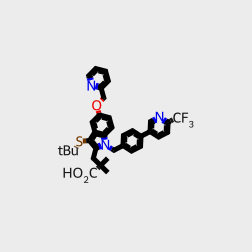 CC(C)(C)Sc1c(CC(C)(C)C(=O)O)n(Cc2ccc(-c3ccc(C(F)(F)F)nc3)cc2)c2ccc(OCc3ccccn3)cc12